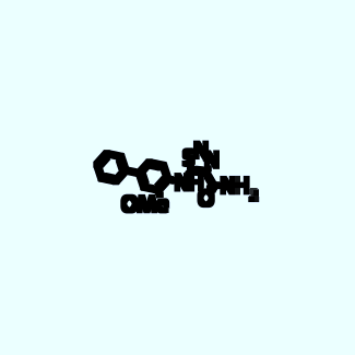 COc1cc(-c2ccccc2)ccc1Nc1snnc1C(N)=O